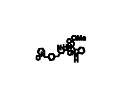 COC(=O)CC(NC(=O)c1cncc(Cc2ccc(Cn3ccccc3=O)cc2)c1)c1n[nH]c2ccccc12